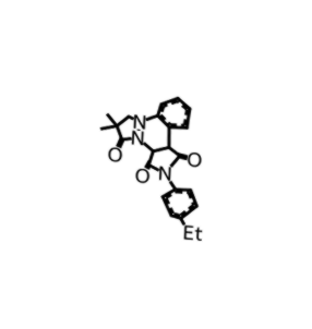 CCc1ccc(N2C(=O)C3c4ccccc4N4CC(C)(C)C(=O)N4C3C2=O)cc1